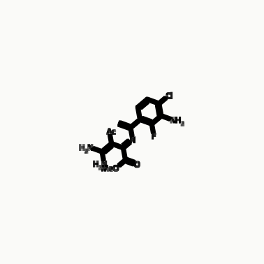 C=C(/N=C(/C(=O)OC)C(C(C)=O)=C(N)N)c1ccc(Cl)c(N)c1F